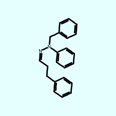 C(/CCc1ccccc1)=N/N(Cc1ccccc1)c1ccccc1